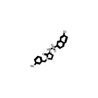 CCc1ccc2ccc(S(=O)(=O)N[C@H]3CCN(Cc4cccc(C#N)c4)C3=O)cc2c1